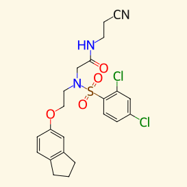 N#CCCNC(=O)CN(CCOc1ccc2c(c1)CCC2)S(=O)(=O)c1ccc(Cl)cc1Cl